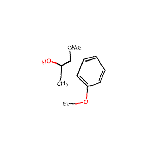 CCOc1ccccc1.COCC(C)O